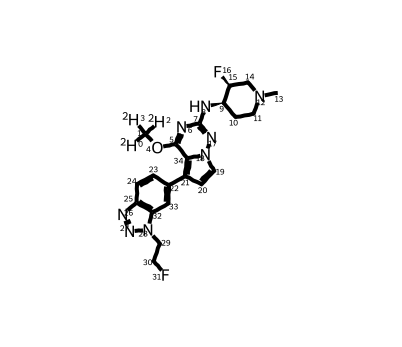 [2H]C([2H])([2H])Oc1nc(N[C@@H]2CCN(C)C[C@@H]2F)nn2ccc(-c3ccc4nnn(CCF)c4c3)c12